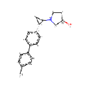 N#Cc1ccc(-c2ccc([C@@H]3CC3N3CC[C@@H](O)C3)cc2)cc1